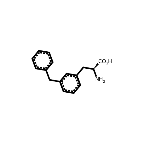 N[C@@H](Cc1cccc(Cc2ccccc2)c1)C(=O)O